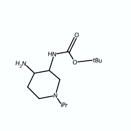 CC(C)N1CCC(N)C(NC(=O)OC(C)(C)C)C1